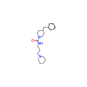 O=C(NCCCN1CCCCC1)N1CCC(Cc2ccccc2)CC1